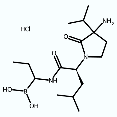 CCC(NC(=O)[C@H](CC(C)C)N1CCC(N)(C(C)C)C1=O)B(O)O.Cl